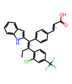 CC/C(=C(/c1ccc(/C=C/C(=O)O)cc1)c1cc2ccccc2[nH]1)c1ccc(C(F)(F)F)cc1Cl